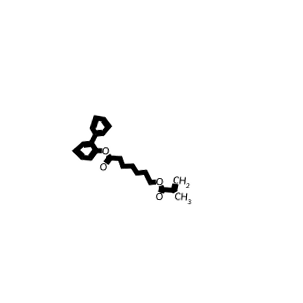 C=C(C)C(=O)OCCCCCCC(=O)Oc1ccccc1-c1ccccc1